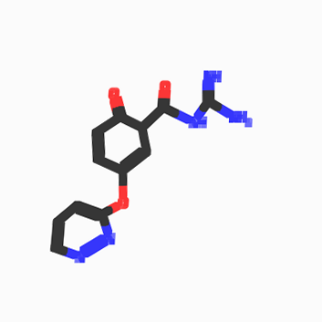 N=C(N)NC(=O)C1C=C(Oc2cccnn2)C=CC1=O